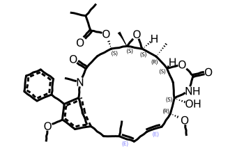 COc1cc2cc(c1-c1ccccc1)N(C)C(=O)C[C@H](OC(=O)C(C)C)[C@]1(C)O[C@H]1[C@H](C)[C@@H]1C[C@@](O)(NC(=O)O1)[C@H](OC)/C=C/C=C(\C)C2